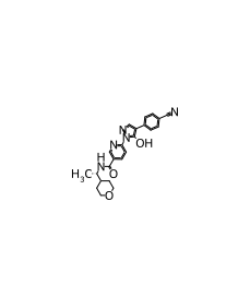 C[C@H](NC(=O)c1ccc(-n2ncc(-c3ccc(C#N)cc3)c2O)nc1)C1CCOCC1